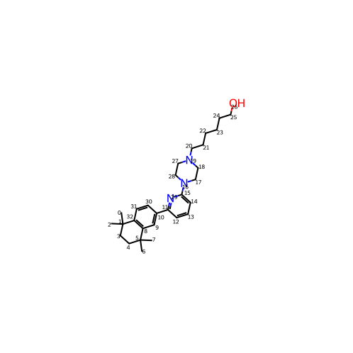 CC1(C)CCC(C)(C)c2cc(-c3cccc(N4CCN(CCCCCCO)CC4)n3)ccc21